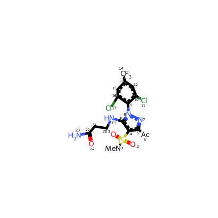 CNS(=O)(=O)c1c(C(C)=O)nn(-c2c(Cl)cc(C(F)(F)F)cc2Cl)c1NCCC(N)=O